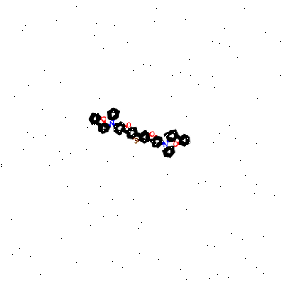 c1ccc(N(c2ccc3c(c2)oc2cc4c(cc23)sc2cc3c(cc24)oc2cc(N(c4ccccc4)c4cccc5c4oc4ccccc45)ccc23)c2cccc3c2oc2ccccc23)cc1